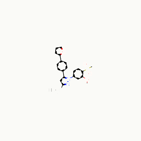 CCOc1cc(-n2nc(C(=O)O)cc2-c2ccc(-c3ccco3)cc2)ccc1S(C)(=O)=O